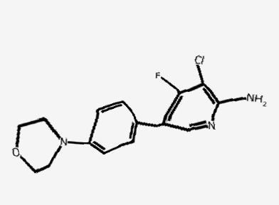 Nc1ncc(-c2ccc(N3CCOCC3)cc2)c(F)c1Cl